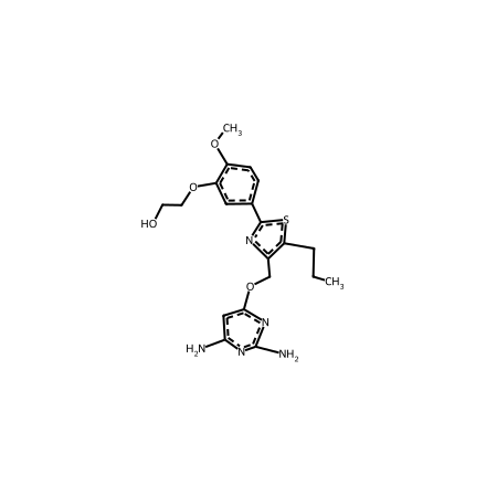 CCCc1sc(-c2ccc(OC)c(OCCO)c2)nc1COc1cc(N)nc(N)n1